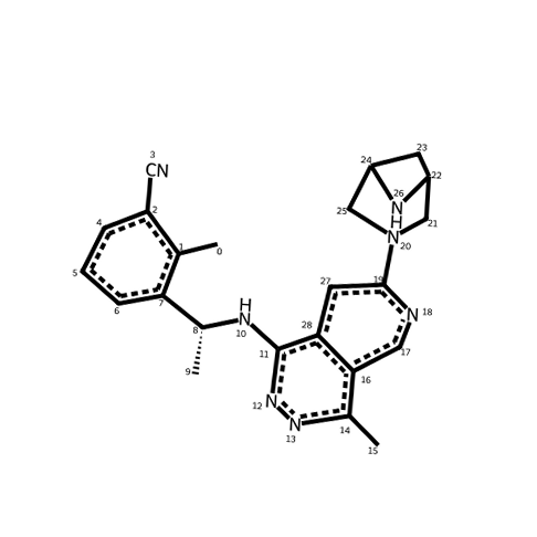 Cc1c(C#N)cccc1[C@@H](C)Nc1nnc(C)c2cnc(N3CC4CC(C3)N4)cc12